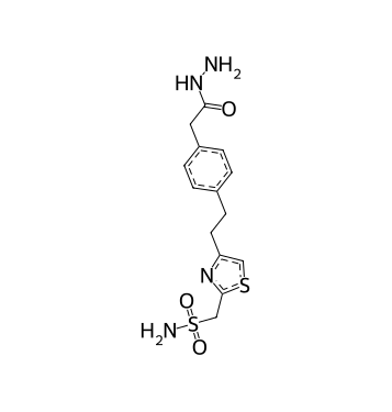 NNC(=O)Cc1ccc(CCc2csc(CS(N)(=O)=O)n2)cc1